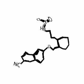 N#Cc1ccc2cc(OCC3CCCCC3CCN[SH](=O)=O)ccc2c1